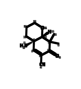 B[C@@]12C=C(C#N)C(=O)C(C)(C)[C@H]1OCCC2